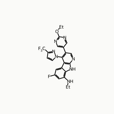 CCNc1cc(F)cc2c1[nH]c1ncc(-c3cnc(OCC)nc3)c(-n3ccc(C(F)(F)F)n3)c12